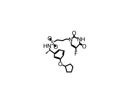 C[C@@H](NS(=O)(=O)CCCn1cc(F)c(=O)[nH]c1=O)c1cccc(OC2CCCC2)c1